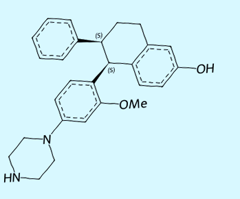 COc1cc(N2CCNCC2)ccc1[C@@H]1c2ccc(O)cc2CC[C@@H]1c1ccccc1